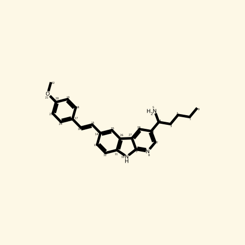 CCCCC(N)c1cnc2[nH]c3ccc(/C=C/c4ccc(OC)cc4)cc3c2c1